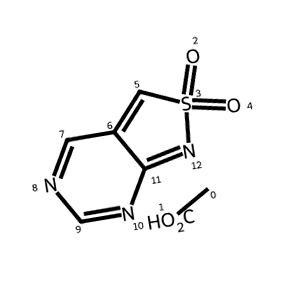 CC(=O)O.O=S1(=O)C=c2cncnc2=N1